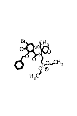 CCOP(=O)(CCN1C(=O)c2c(OCc3ccccc3)c(=O)c(Br)cn2N(C)C12CCOC2)OCC